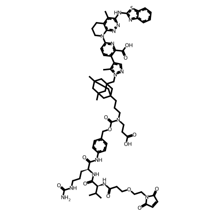 Cc1c(Nc2nc3ccccc3s2)nnc2c1CCCN2c1ccc(-c2cnn(CC34CC5(C)CC(C)(CC(CCCN(CCC(=O)O)C(=O)OCc6ccc(NC(=O)[C@H](CCCNC(N)=O)NC(=O)[C@@H](NC(=O)CCOCCN7C(=O)C=CC7=O)C(C)C)cc6)(C5)C3)C4)c2C)c(C(=O)O)n1